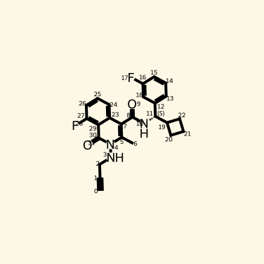 C#CCNn1c(C)c(C(=O)N[C@H](c2cccc(F)c2)C2CCC2)c2cccc(F)c2c1=O